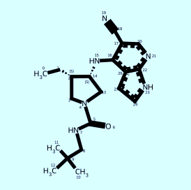 CC[C@H]1CN(C(=O)NCC(C)(C)C)C[C@H]1Nc1c(C#N)cnc2[nH]ccc12